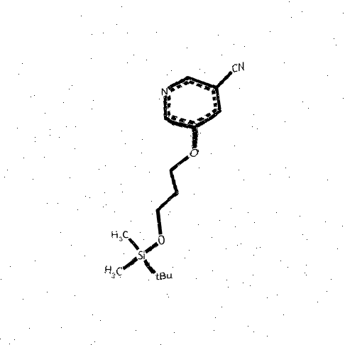 CC(C)(C)[Si](C)(C)OCCCOc1cncc(C#N)c1